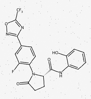 O=C(Nc1ccccc1O)[C@@H]1CCC(=O)N1c1ccc(-c2noc(C(F)(F)F)n2)cc1F